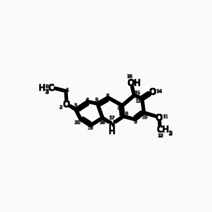 CCOC1=CC2=CC3=C(C=C(OC)C(=O)C3O)NC2C=C1